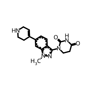 Cn1nc(N2CCC(=O)NC2=O)c2ccc(C3=CCNCC3)cc21